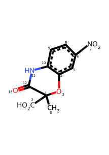 CC1(C(=O)O)Oc2cc([N+](=O)[O-])ccc2NC1=O